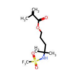 C=C(C)C(=O)OCCCC(C)(C)NS(=O)(=O)C(F)(F)F